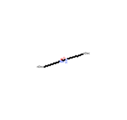 CCCCCCCCCCCCCCCCCCCCCCNC(=O)CC(=O)NCCCCCCCCCCCCCCCCCCCCCC